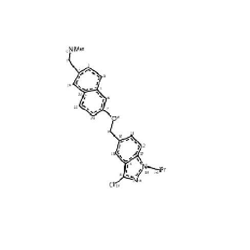 CNCc1ccc2cc(OCc3ccc4c(c3)c(Cl)nn4C(C)C)ccc2c1